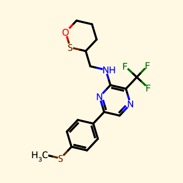 CSc1ccc(-c2cnc(C(F)(F)F)c(NCC3CCCOS3)n2)cc1